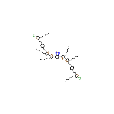 CCCCCCc1cc(Cl)sc1/C=C/c1ccc(/C=C/c2sc(-c3sc(-c4ccc(-c5cc(CCCCCC)c(-c6cc(CCCCCC)c(/C=C/c7ccc(/C=C/c8sc(Cl)cc8CCCCCC)cc7)s6)s5)c5nsnc45)cc3CCCCCC)cc2CCCCCC)cc1